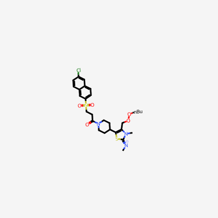 CCCCOOCc1c(C2CCN(C(=O)CCS(=O)(=O)c3ccc4cc(Cl)ccc4c3)CC2)s/c(=N\C)n1C